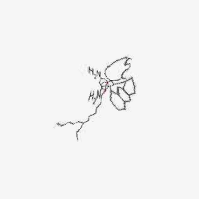 CCCCCC(CCC)CCCCCCCC1(C2C3CCCC4CC5=C(C=C43)C(CCC5)C2C2(C3CCC(N)CC3)CCCCCCCCCC2)CCC(N)CC1